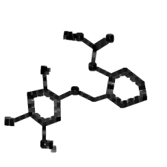 CCc1cc(Br)c(OCc2ccccc2OC(=O)OC)cc1C